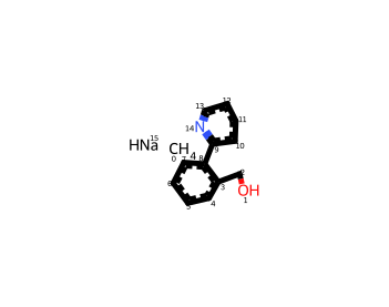 C.OCc1ccccc1-c1ccccn1.[NaH]